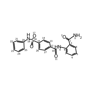 NC(=O)c1ccccc1NC(=O)c1ccc(S(=O)(=O)Nc2ccccc2)cc1